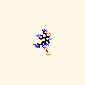 Cc1cc(-c2c(C3CCNC3)c3c4cc(-c5cnn(C)c5)n(COCCS(C)(C)C)c4ncc3n(C)c2=O)on1